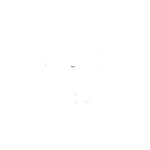 CCC1=C2c3ccc4[nH]nnc4c3C[C@]2(c2ccc(F)cc2)CCC1O